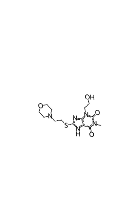 Cn1c(=O)c2[nH]c(SCCN3CCOCC3)nc2n(CCO)c1=O